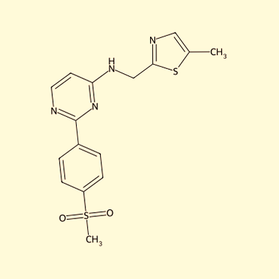 Cc1cnc(CNc2ccnc(-c3ccc(S(C)(=O)=O)cc3)n2)s1